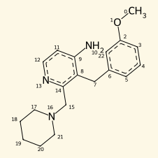 COc1cccc(Cc2c(N)ccnc2CN2CCCCC2)c1